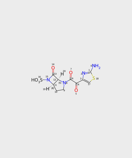 Nc1nc(C(=O)C(=O)N2CC[C@@H]3[C@H]2C(=O)N3S(=O)(=O)O)cs1